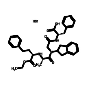 Br.CCOC(=O)[C@@H](CCc1ccccc1)N[C@@H](C)C(=O)N(CC(=O)N[C@@H](Cc1ccccc1)C(=O)O)C1Cc2ccccc2C1